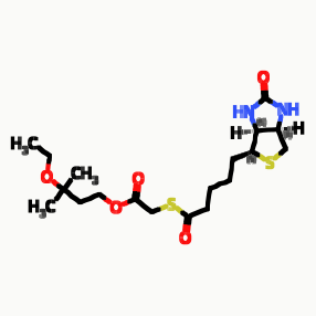 CCOC(C)(C)CCOC(=O)CSC(=O)CCCC[C@@H]1SC[C@@H]2NC(=O)N[C@@H]21